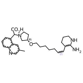 Cc1cnc2cccc(C(C(=O)O)N3CC[C@@H](OCCCCC/C=C\C4=C(N)NCCC4)C3)c2c1